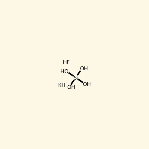 F.O[Si](O)(O)O.[KH]